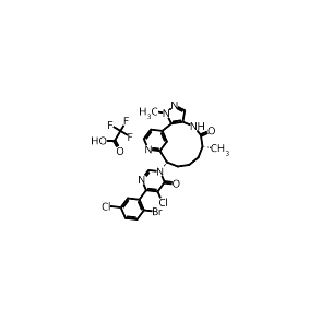 C[C@@H]1CCC[C@H](n2cnc(-c3cc(Cl)ccc3Br)c(Cl)c2=O)c2cc(ccn2)-c2c(cnn2C)NC1=O.O=C(O)C(F)(F)F